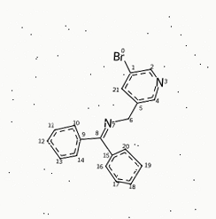 Brc1cncc(CN=C(c2ccccc2)c2ccccc2)c1